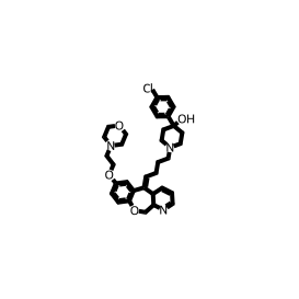 OC1(c2ccc(Cl)cc2)CCN(CCC/C=C2/c3cc(OCCN4CCOCC4)ccc3OCC3N=CC=CC23)CC1